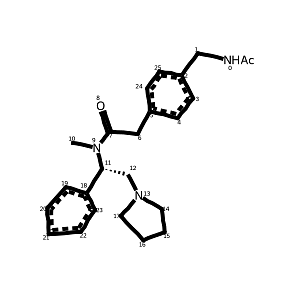 CC(=O)NCc1ccc(CC(=O)N(C)[C@H](CN2CCCC2)c2ccccc2)cc1